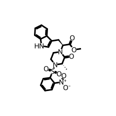 COC(=O)[C@H](Cc1c[nH]c2ccccc12)N1CCN(S(=O)(=O)c2ccccc2[N+](=O)[O-])[C@@H](C)C1=O